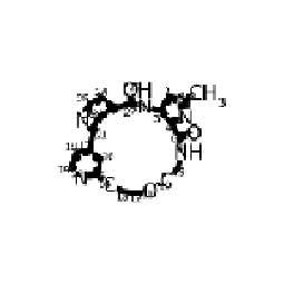 Cn1cc2c(n1)C(=O)NCCOCCCc1cc(ccn1)-c1cc(ccn1)C(=O)N2